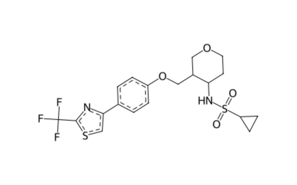 O=S(=O)(NC1CCOCC1COc1ccc(-c2csc(C(F)(F)F)n2)cc1)C1CC1